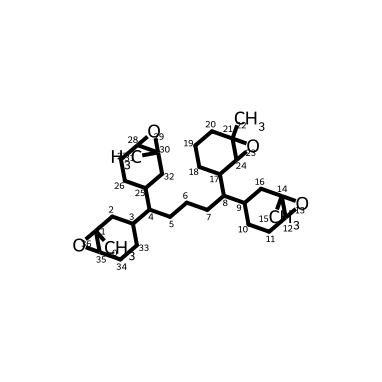 CC12CC(C(CCCC(C3CCC4OC4(C)C3)C3CCCC4(C)OC34)C3CCC4OC4(C)C3)CCC1O2